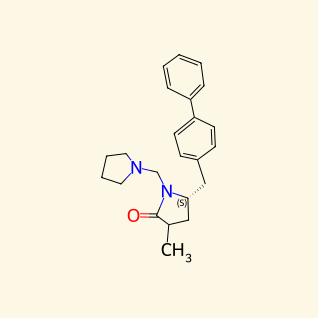 CC1C[C@@H](Cc2ccc(-c3ccccc3)cc2)N(CN2CCCC2)C1=O